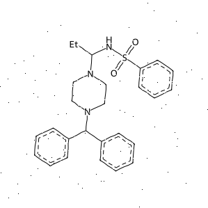 CCC(NS(=O)(=O)c1ccccc1)N1CCN(C(c2ccccc2)c2ccccc2)CC1